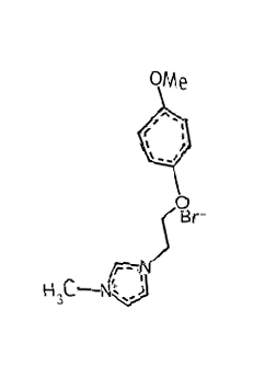 COc1ccc(OCCn2cc[n+](C)c2)cc1.[Br-]